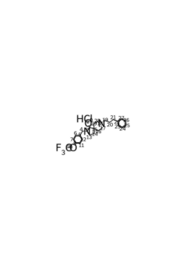 Cl.O=C1N(Cc2ccc(OC(F)(F)F)cc2)CCC12CCN(CCCc1ccccc1)CC2